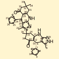 Cc1[nH]nc2c1[C@H](c1cccs1)C1=C(CC(C)(n3nc4c(c3C)[C@@H](c3cccs3)C3=C(CC(C)(C)CC3=O)N4)CC1=O)N2